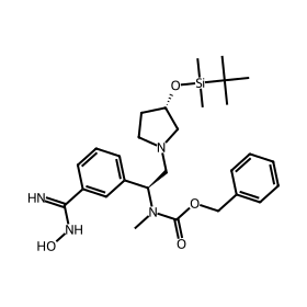 CN(C(=O)OCc1ccccc1)[C@H](CN1CC[C@H](O[Si](C)(C)C(C)(C)C)C1)c1cccc(C(=N)NO)c1